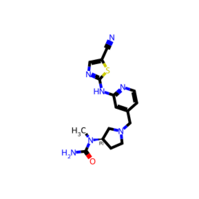 CN(C(N)=O)[C@@H]1CCN(Cc2ccnc(Nc3ncc(C#N)s3)c2)C1